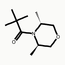 C[C@@H]1COC[C@@H](C)N1C(=O)C(C)(C)C